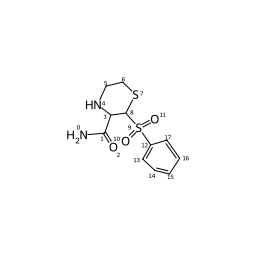 NC(=O)C1NCCSC1S(=O)(=O)c1ccccc1